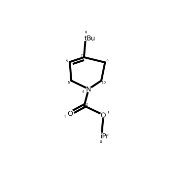 CC(C)OC(=O)N1CC=C(C(C)(C)C)CC1